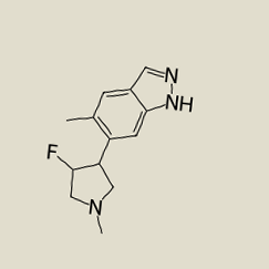 Cc1cc2cn[nH]c2cc1C1CN(C)CC1F